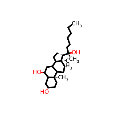 CCCCCC[C@](C)(O)[C@H]1CCC2C3C[C@H](O)C4C[C@@H](O)CC[C@]4(C)C3CC[C@@]21C